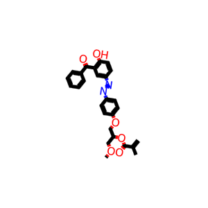 C=C(C)C(=O)OC(COC)COc1ccc(N=Nc2ccc(O)c(C(=O)c3ccccc3)c2)cc1